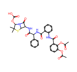 CC(=O)Oc1cccc(C(=O)Nc2ccccc2C(=O)NC(C(=O)NC2C(=O)N3C2SC(C)(C)C3OC(=O)O)c2ccccc2)c1OC(C)=O